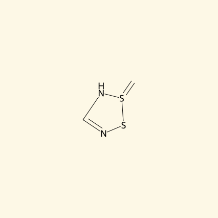 C=S1NC=NS1